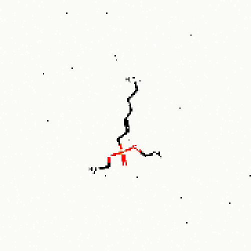 CCCCC=CCP(=O)(OCC)OCC